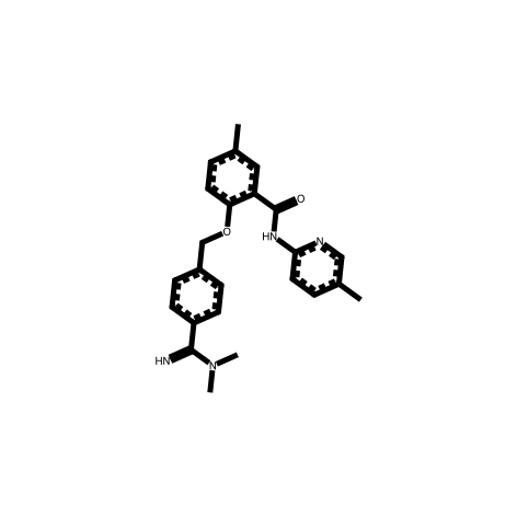 Cc1ccc(NC(=O)c2cc(C)ccc2OCc2ccc(C(=N)N(C)C)cc2)nc1